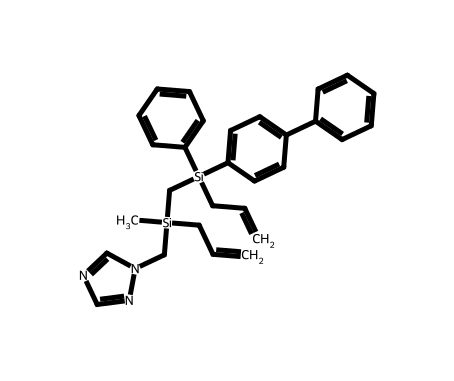 C=CC[Si](C)(Cn1cncn1)C[Si](CC=C)(c1ccccc1)c1ccc(-c2ccccc2)cc1